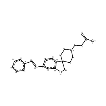 O=C(O)CCN1CCC2(CC1)COc1cc(C=Cc3ccccc3)ccc12